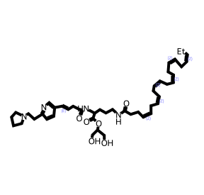 CC/C=C\C/C=C\C/C=C\C/C=C\C/C=C\C/C=C\CCC(=O)NCCCC(NC(=O)C/C=C/c1ccc(CCN2CCCC2)nc1)C(=O)OC(CO)CO